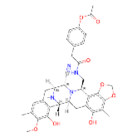 COc1c(C)cc2c(c1O)[C@H]1[C@@H]3Cc4c(O)c(C)c5c(c4[C@H](CNC(=O)Cc4ccc(OC(C)=O)cc4)N3[C@@H](C#N)[C@H](C2)N1C)OCO5